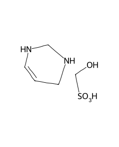 C1=CNCNC1.O=S(=O)(O)CO